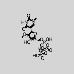 CO[C@@H]1[C@H](O)[C@@H](COP(=O)(O)OP(=O)(O)OP(=O)(O)O)O[C@H]1c1cn(C)c(=O)[nH]c1=O